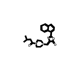 CC(C)CC(=O)N1CCN(C=C2N=C(c3cccc4ccccc34)OC2=O)CC1